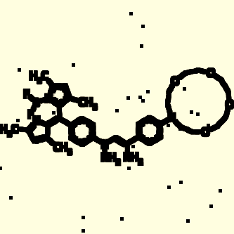 CC1=CC(C)=N/C1=C(/c1ccc(N(N)/C=C(\N)c2ccc(N3CCOCCOCCOCCOCC3)cc2)cc1)c1c(C)cc(C)n1B(F)F